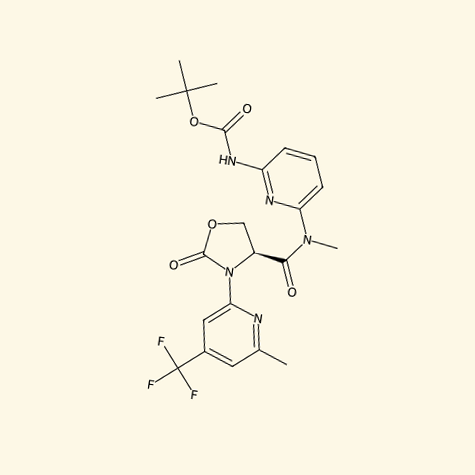 Cc1cc(C(F)(F)F)cc(N2C(=O)OC[C@H]2C(=O)N(C)c2cccc(NC(=O)OC(C)(C)C)n2)n1